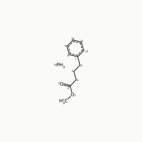 COC(=O)CCCc1ccccc1.P